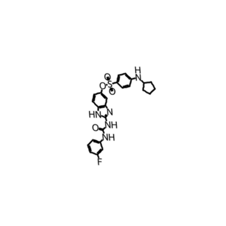 O=C(Nc1cccc(F)c1)Nc1nc2cc(OS(=O)(=O)c3ccc(NC4CCCC4)cc3)ccc2[nH]1